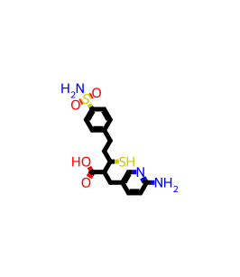 Nc1ccc(CC(C(=O)O)C(S)CCc2ccc(S(N)(=O)=O)cc2)cn1